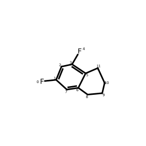 Fc1cc(F)c2c(c1)CCC[CH]2